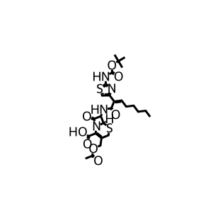 CCCCC/C=C(\C(=O)NC1C(=O)N2C(C(=O)O)=C(COC(C)=O)CS[C@@H]12)c1csc(NC(=O)OC(C)(C)C)n1